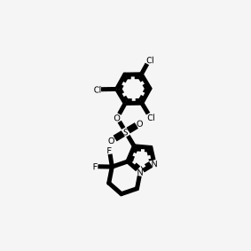 O=S(=O)(Oc1c(Cl)cc(Cl)cc1Cl)c1cnn2c1C(F)(F)CCC2